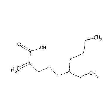 C=C(CCCC(CC)CCCC)C(=O)O